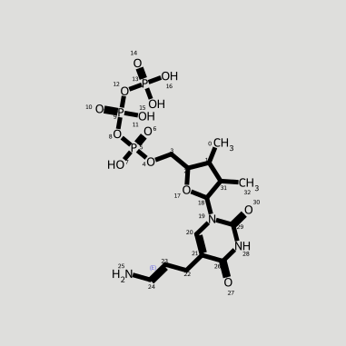 CC1C(COP(=O)(O)OP(=O)(O)OP(=O)(O)O)OC(n2cc(C/C=C/N)c(=O)[nH]c2=O)C1C